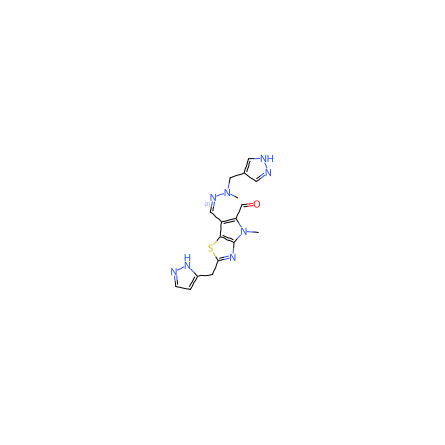 CN(Cc1cn[nH]c1)/N=C\c1c(C=O)n(C)c2nc(Cc3ccn[nH]3)sc12